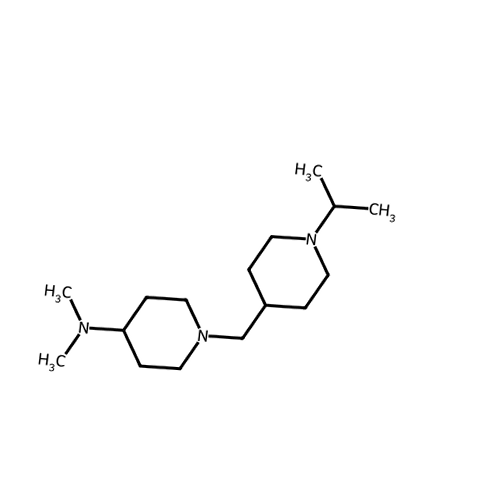 CC(C)N1CCC(CN2CCC(N(C)C)CC2)CC1